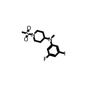 CN(c1cc(F)cc(I)c1)C1CCN(S(C)(=O)=O)CC1